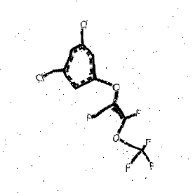 F/C(Oc1cc(Cl)cc(Cl)c1)=C(/F)OC(F)(F)F